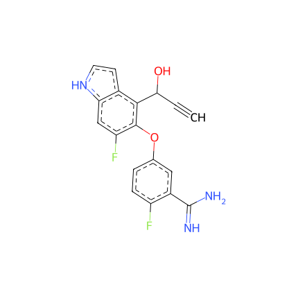 C#CC(O)c1c(Oc2ccc(F)c(C(=N)N)c2)c(F)cc2[nH]ccc12